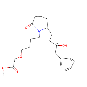 COC(=O)COCCCCN1C(=O)CCCC1CC[C@@H](O)Cc1ccccc1